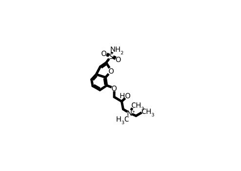 CC[N+](C)(C)CC(O)COc1cccc2cc(S(N)(=O)=O)oc12